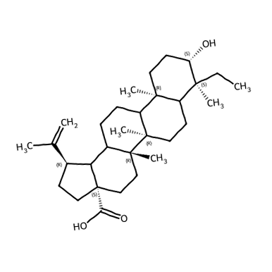 C=C(C)[C@@H]1CC[C@]2(C(=O)O)CC[C@]3(C)C(CCC4[C@@]5(C)CC[C@H](O)[C@@](C)(CC)C5CC[C@]43C)C12